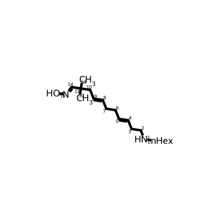 CCCCCCNCCC=CCCC=CCC(C)(C)C=NO